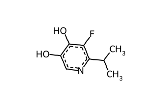 CC(C)c1ncc(O)c(O)c1F